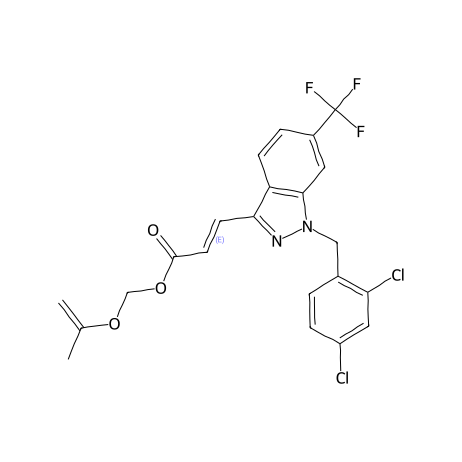 C=C(C)OCOC(=O)/C=C/c1nn(Cc2ccc(Cl)cc2Cl)c2cc(C(F)(F)F)ccc12